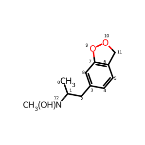 CC(Cc1ccc2c(c1)OOC2)N(C)O